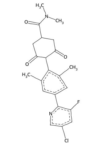 Cc1cc(-c2ncc(Cl)cc2F)cc(C)c1C1C(=O)CC(C(=O)N(C)C)CC1=O